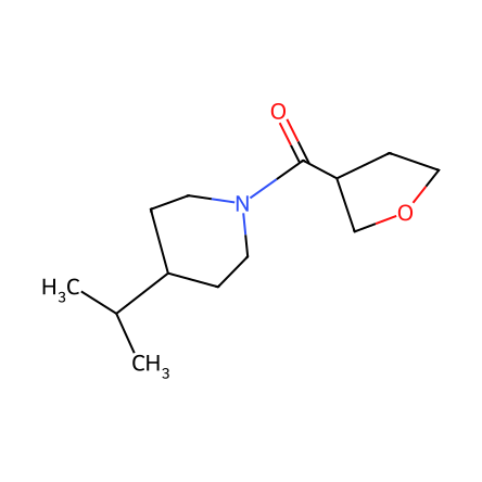 CC(C)C1CCN(C(=O)C2CCOC2)CC1